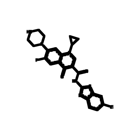 O=C(Nc1nc2ccc(Cl)cc2s1)c1cn(C2CC2)c2cc(N3CCNCC3)c(F)cc2c1=O